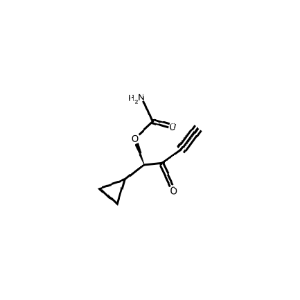 C#CC(=O)[C@H](OC(N)=O)C1CC1